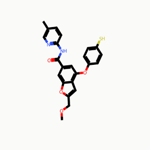 COCc1cc2c(Oc3ccc(S)cc3)cc(C(=O)Nc3ccc(C)cn3)cc2o1